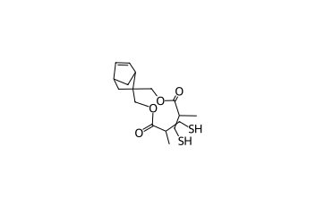 CC(CS)C(=O)OCC1(COC(=O)C(C)CS)CC2C=CC1C2